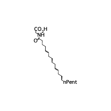 CCCCCC=CCC=CCC=CCC=CCCCC(=O)NCC(=O)O